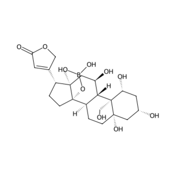 C[C@]12C[C@@H](O)[C@H]3[C@@H](CC[C@]4(O)C[C@@H](O)C[C@@H](O)[C@]34CO)[C@@]1(OB(O)O)CC[C@@H]2C1=CC(=O)OC1